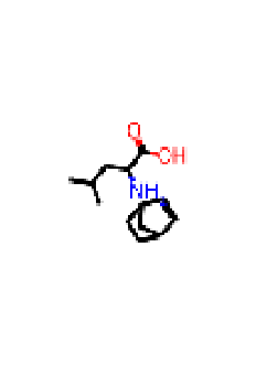 C1=CC2CCC1C2.CC(C)CC(N)C(=O)O